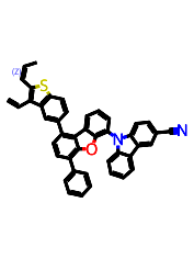 C=Cc1c(/C=C\C)sc2ccc(-c3ccc(-c4ccccc4)c4oc5c(-n6c7ccccc7c7cc(C#N)ccc76)cccc5c34)cc12